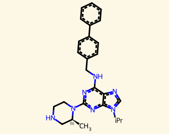 CC(C)n1cnc2c(NCc3ccc(-c4ccccc4)cc3)nc(N3CCNC[C@@H]3C)nc21